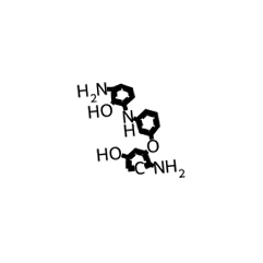 Nc1ccc(O)cc1Oc1cccc(Nc2cccc(N)c2O)c1